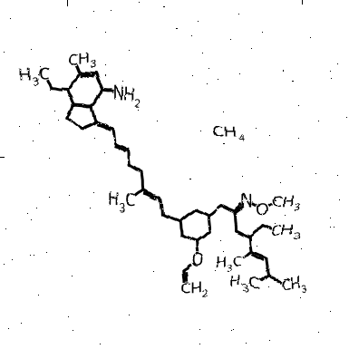 C.C=COC1CC(C/C=C(\C)CC/C=C/C=C2\CCC3C(CC)C(C)=CC(N)C23)CC(C/C(CC(CC)/C(C)=C/C(C)C)=N/OC)C1